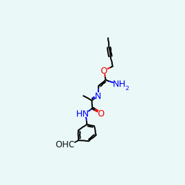 CC#CCO/C(N)=C/N=C(\C)C(=O)Nc1cccc(C=O)c1